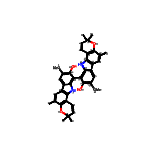 COc1cc2c([nH]c3c4c(c(C)cc32)OC(C)(C)C=C4)c(-c2c(O)c(OC)cc3c2[nH]c2c4c(c(C)cc23)OC(C)(C)C=C4)c1O